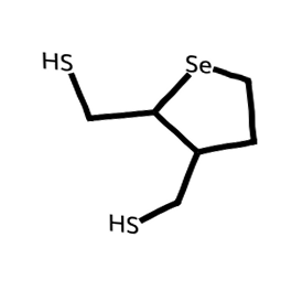 SCC1CC[Se]C1CS